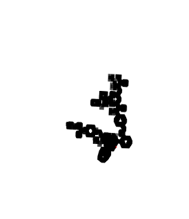 C[C@@H]1CN(C(=O)OC(C)(C)C)CCN1CCOc1cc(N2C3CCC2CN(c2cc(-c4ccccc4OCc4ccc(NC(=O)C(CCCNC(N)=O)NC(=O)C5(C(=O)O)CCC5)cc4)nnc2N)C3)ccn1